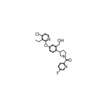 CCc1c(Cl)ccnc1Oc1ccc(C2CCN(C(=O)c3ccc(F)cn3)C2)c(CO)c1